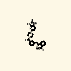 O=C(c1cccc(Cc2n[nH]c(=O)c3ccccc23)c1)N1CCN(c2ccc3c(n2)NNN3)CC1